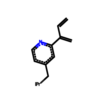 C=CC(=C)c1cc(CC(C)C)ccn1